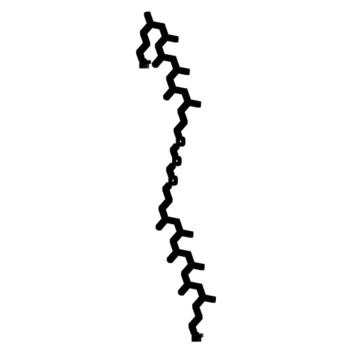 CC(CCCBr)CC(C)CC(C)CC(C)CC(C)CC(C)CCCOCOCOCCCC(C)CC(C)CC(C)CC(C)CC(C)CC(C)CCCBr